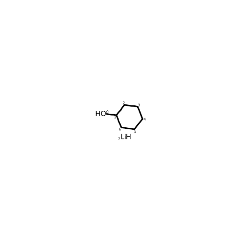 OC1CCCCC1.[LiH]